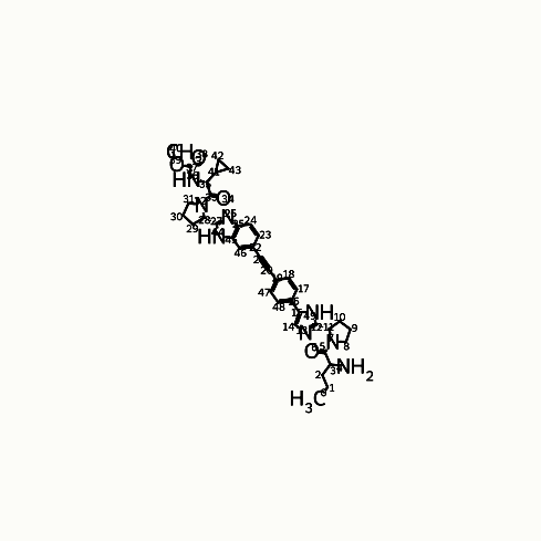 CCCC(N)C(=O)N1CCC[C@H]1c1ncc(-c2ccc(C#Cc3ccc4nc([C@@H]5CCCN5C(=O)[C@@H](NC(=O)OC)C5CC5)[nH]c4c3)cc2)[nH]1